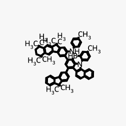 Cc1ccc(Nc2cc3c(cc2-c2cc(-c4ccc5c(c4)-c4ccccc4C5(C)C)c4c5ccc6ccccc6c5n5c4c2Bc2cc(C)ccc2-5)-c2cc4c(cc2C3(C)C)C(C)(C)CCC4(C)C)cc1